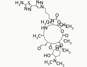 CC[C@H]1OC(=O)[C@H](C)C(=O)[C@H](C)[C@@H](O[C@@H]2O[C@H](C)CC(N(C)C)C2O)[C@@H](CC=O)C[C@@H](C)CN[C@H](C)[C@H]2N(CCCCn3cc(-c4nnc(N)s4)nn3)C(=O)O[C@]12C